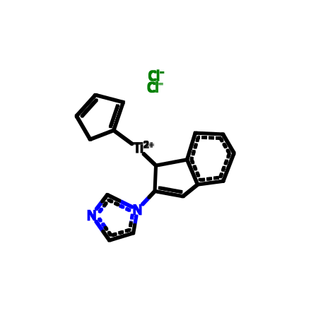 C1=CC[C]([Ti+2][CH]2C(n3ccnc3)=Cc3ccccc32)=C1.[Cl-].[Cl-]